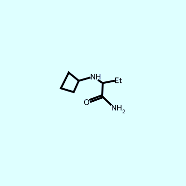 CCC(NC1CCC1)C(N)=O